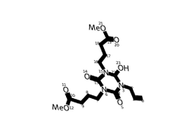 C=CCN1C(=O)N(CCCC(=O)OC)C(=O)N(CCCC(=O)OC)C1O